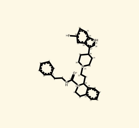 O=C(NCCc1ccccc1)N1CCc2ccccc2C1CCN1CCC(c2c[nH]c3ccc(F)cc23)CC1